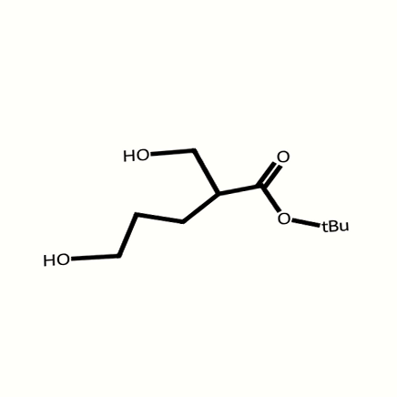 CC(C)(C)OC(=O)C(CO)CCCO